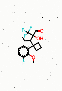 CCC(C1(c2cccc(F)c2OC)CCC1)C(O)(C=O)C(F)(F)F